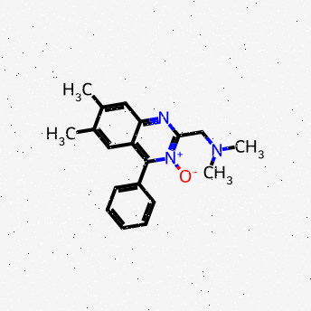 Cc1cc2nc(CN(C)C)[n+]([O-])c(-c3ccccc3)c2cc1C